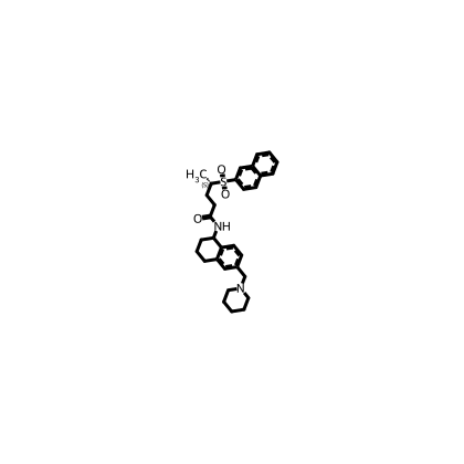 C[C@@H](CCC(=O)NC1CCCc2cc(CN3CCCCC3)ccc21)S(=O)(=O)c1ccc2ccccc2c1